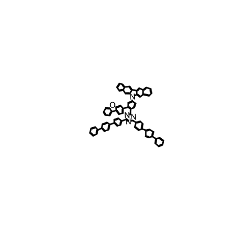 c1ccc(-c2ccc(-c3ccc(-c4nc(-c5ccc(-c6ccc(-c7ccccc7)cc6)cc5)nc(-c5ccc(-n6c7cc8ccccc8cc7c7cc8ccccc8cc76)cc5-c5ccc6c(c5)oc5ccccc56)n4)cc3)cc2)cc1